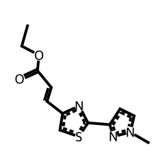 CCOC(=O)/C=C/c1csc(-c2ccn(C)n2)n1